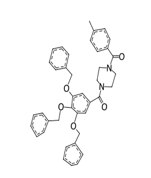 Cc1ccc(C(=O)N2CCN(C(=O)c3cc(OCc4ccccc4)c(OCc4ccccc4)c(OCc4ccccc4)c3)CC2)cc1